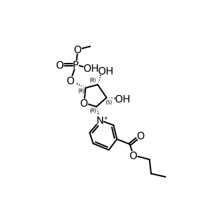 CCCOC(=O)c1ccc[n+]([C@@H]2O[C@H](OP(=O)(O)OC)[C@H](O)[C@@H]2O)c1